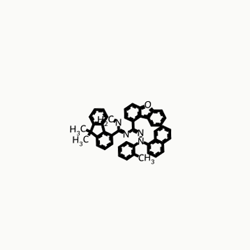 C=N/C(=N\C(=N/N(c1ccccc1C)c1cccc2ccccc12)c1cccc2oc3ccccc3c12)c1cccc2c1-c1ccccc1C2(C)C